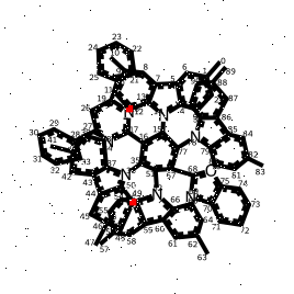 Cc1ccc2c(c1)c1cc(C)ccc1n2-c1c(-c2nc(-c3ccccc3)cc(-c3ccccc3)n2)c(-n2c3ccc(C)cc3c3cc(C)ccc32)c(-n2c3ccc(C)cc3c3cc(C)ccc32)c(-c2nc3ccccc3o2)c1-n1c2ccc(C)cc2c2cc(C)ccc21